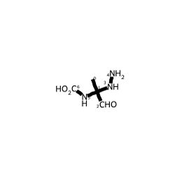 CC(C=O)(NN)NC(=O)O